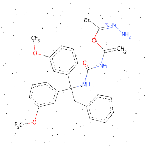 C=C(NC(=O)NC(Cc1ccccc1)(c1cccc(OC(F)(F)F)c1)c1cccc(OC(F)(F)F)c1)O/C(CC)=N\N